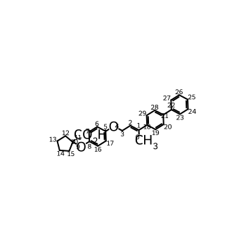 C/C(=C\COc1ccc(OC2(C(=O)O)CCCC2)cc1)c1ccc(-c2ccccc2)cc1